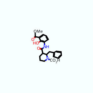 COC(=O)c1cccc(NC(=O)C2CCCN(C(=O)O)C2Cc2ccccc2)c1O